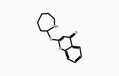 O=c1cc(OC2CCCCCN2)oc2ccccc12